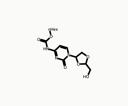 CCCCCCOC(=O)Nc1ccn(C2COC(CO)O2)c(=O)n1